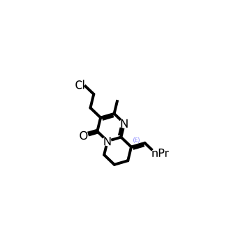 CCC/C=C1\CCCn2c1nc(C)c(CCCl)c2=O